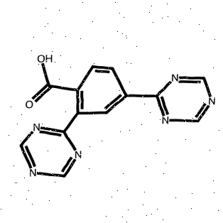 O=C(O)c1ccc(-c2ncncn2)cc1-c1ncncn1